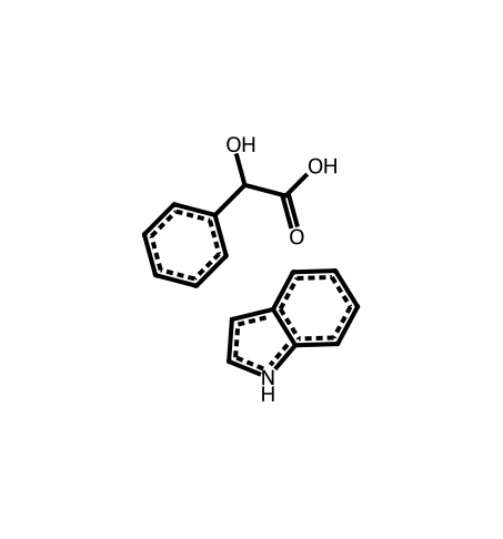 O=C(O)C(O)c1ccccc1.c1ccc2[nH]ccc2c1